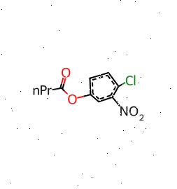 CCCC(=O)Oc1ccc(Cl)c([N+](=O)[O-])c1